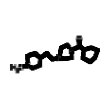 CN1CCC(CCN2CCN(C(=O)C3CCCCC3)CC2)CC1